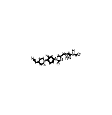 N#CCC1CCN(c2ccc(N3CC(Cn4cc(NC=O)nn4)OC3=O)cc2F)CC1